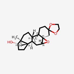 C[C@]12CC[C@H]3[C@@H](C[C@H]4O[C@@]45CC4(CC[C@]35C)OCCO4)[C@@H]1CC[C@@H]2O